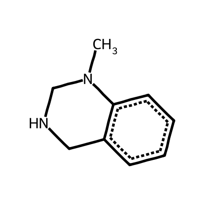 CN1CNCc2ccccc21